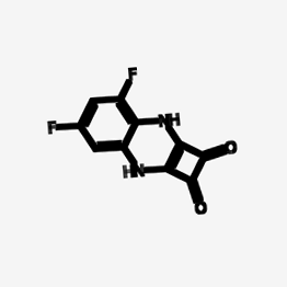 O=c1c2c(c1=O)Nc1c(F)cc(F)cc1N2